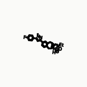 CCN1CC2(NS1(=O)=O)C1CCC2Cc2cc(-c3cc(-c4ccc(F)cc4)n(C)n3)ccc2C1